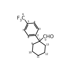 O=CC1(c2ccc(C(F)(F)F)cc2)CCCCC1